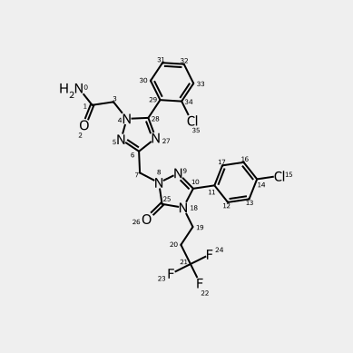 NC(=O)Cn1nc(Cn2nc(-c3ccc(Cl)cc3)n(CCC(F)(F)F)c2=O)nc1-c1ccccc1Cl